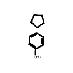 C1CCCC1.O=Cc1ccccc1